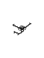 CC(C)CCCCCCOC(=O)C1CCC(CCCC(C)CCCC(C)C)CC1C(=O)OCCCCCCC(C)C